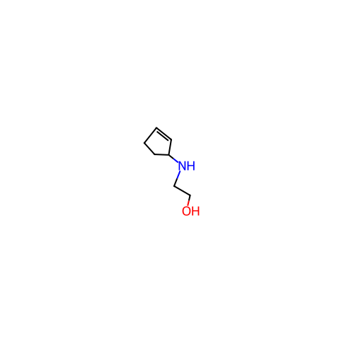 OCCNC1C=CCC1